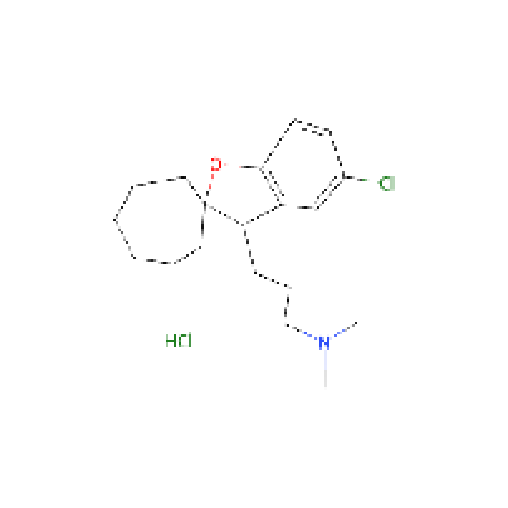 CN(C)CCCC1c2cc(Cl)ccc2OC12CCCCCC2.Cl